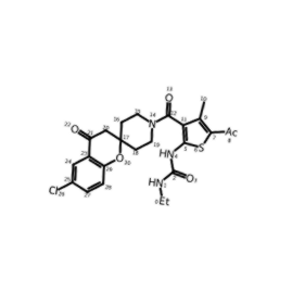 CCNC(=O)Nc1sc(C(C)=O)c(C)c1C(=O)N1CCC2(CC1)CC(=O)c1cc(Cl)ccc1O2